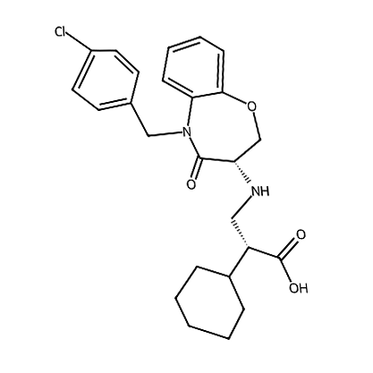 O=C(O)[C@@H](CN[C@H]1COc2ccccc2N(Cc2ccc(Cl)cc2)C1=O)C1CCCCC1